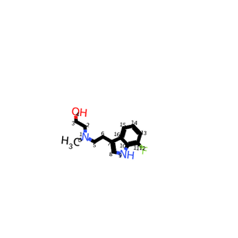 CN(CCO)CCc1c[nH]c2c(F)cccc12